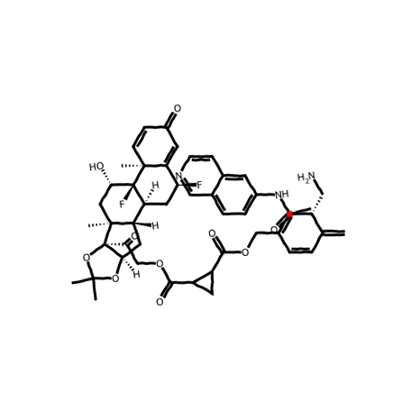 C=C(/C=C\C(=C/C)COC(=O)C1CC1C(=O)OCC(=O)[C@@]12OC(C)(C)O[C@@H]1C[C@H]1[C@@H]3C[C@H](F)C4=CC(=O)C=C[C@]4(C)[C@@]3(F)[C@@H](O)C[C@@]12C)[C@@H](CN)C(=O)Nc1ccc2cnccc2c1